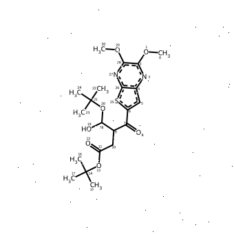 COc1nc2cc(C(=O)C(CC(=O)OC(C)(C)C)C(O)OC(C)(C)C)sc2nc1OC